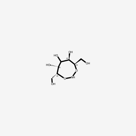 OC[C@H]1ONO[C@H](CO)[C@H](O)C(O)[C@H]1O